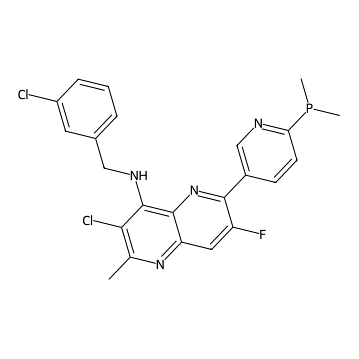 Cc1nc2cc(F)c(-c3ccc(P(C)C)nc3)nc2c(NCc2cccc(Cl)c2)c1Cl